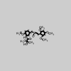 COc1cc(OC)c(C=C[S+]([O-])Cc2ccc(OC)c(NC(=O)C(C)(C)O)c2)c(OC)c1